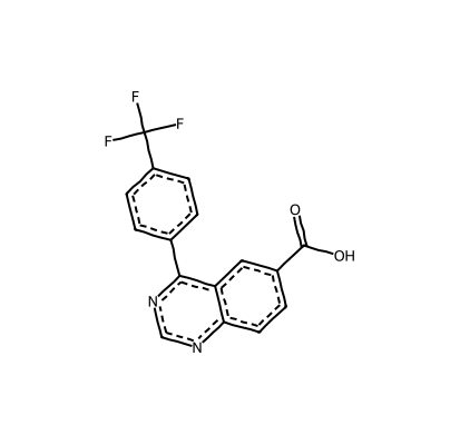 O=C(O)c1ccc2ncnc(-c3ccc(C(F)(F)F)cc3)c2c1